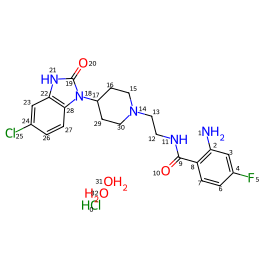 Cl.Nc1cc(F)ccc1C(=O)NCCN1CCC(n2c(=O)[nH]c3cc(Cl)ccc32)CC1.O.O